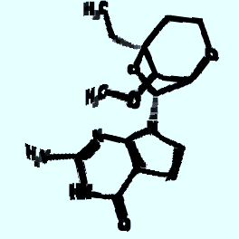 CC[C@]12CCOC(C1OC)[C@H](n1cnc3c(=O)[nH]c(N)nc31)O2